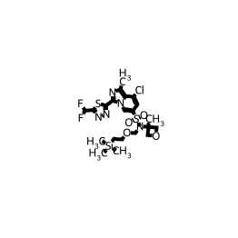 Cc1nc(-c2nnc(C(F)F)s2)n2cc(S(=O)(=O)N(COCC[Si](C)(C)C)C3(C)COC3)cc(Cl)c12